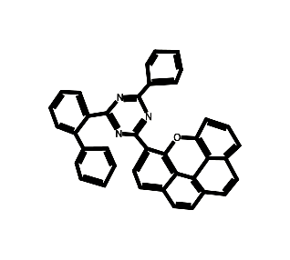 c1ccc(-c2nc(-c3ccccc3-c3ccccc3)nc(-c3ccc4ccc5ccc6cccc7c6c5c4c3O7)n2)cc1